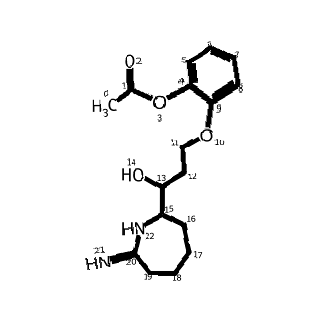 CC(=O)Oc1ccccc1OCCC(O)C1CCCCC(=N)N1